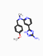 COc1ccc(CN(C)c2cc(-c3nc(N)n[nH]3)ccn2)cc1